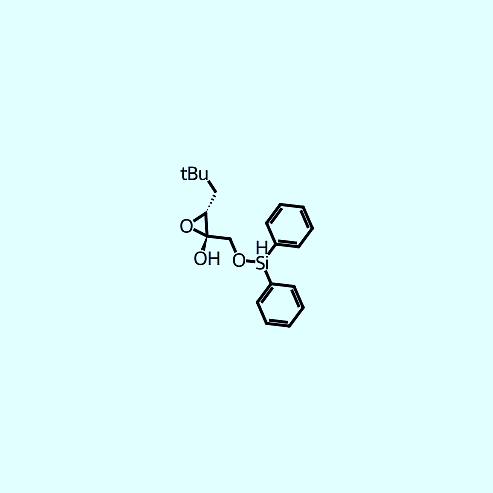 CC(C)(C)C[C@H]1O[C@@]1(O)CO[SiH](c1ccccc1)c1ccccc1